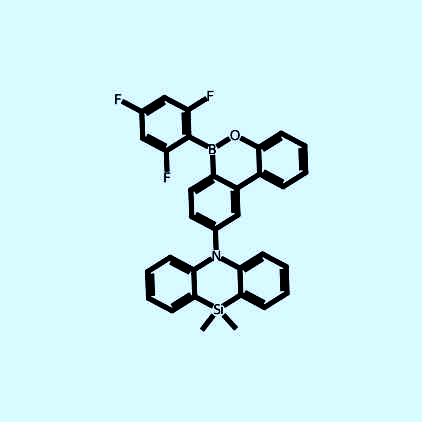 C[Si]1(C)c2ccccc2N(c2ccc3c(c2)-c2ccccc2OB3c2c(F)cc(F)cc2F)c2ccccc21